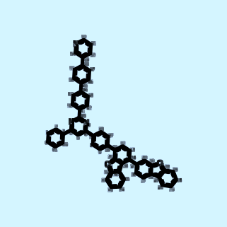 c1ccc(-c2cc(-c3ccc(-c4ccc(-c5ccc6c(c5)oc5ccccc56)c5c4oc4ccccc45)cc3)nc(-c3ccc(-c4ccc(-c5cccnc5)cc4)cc3)n2)cc1